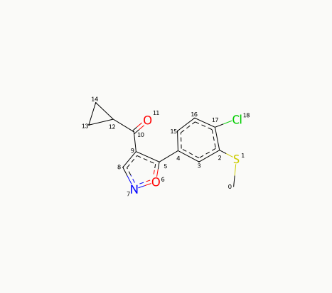 CSc1cc(-c2oncc2C(=O)C2CC2)ccc1Cl